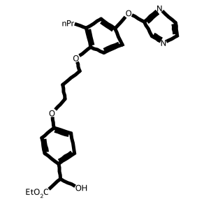 CCCc1cc(Oc2cnccn2)ccc1OCCCOc1ccc(C(O)C(=O)OCC)cc1